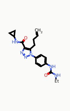 C=CCCc1c(C(=O)NC2CC2)nnn1-c1ccc(NC(=O)NCC)cc1